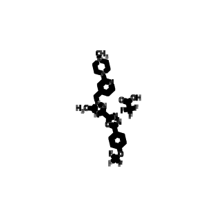 Cc1nc(-c2nnc(-c3ccc(OC(F)(F)F)cc3)o2)nn1Cc1ccnc(N2CCN(C)CC2)c1.O=C(O)C(F)(F)F